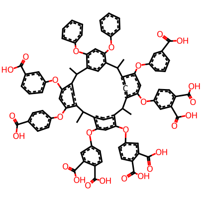 CC1c2cc(c(Oc3ccccc3)cc2Oc2ccccc2)C(C)c2cc(c(Oc3ccc(C(=O)O)c(C(=O)O)c3)cc2Oc2cccc(C(=O)O)c2)C(C)c2cc(c(Oc3ccc(C(=O)O)c(C(=O)O)c3)cc2Oc2ccc(C(=O)O)c(C(=O)O)c2)C(C)c2cc1c(Oc1cccc(C(=O)O)c1)cc2Oc1ccc(C(=O)O)cc1